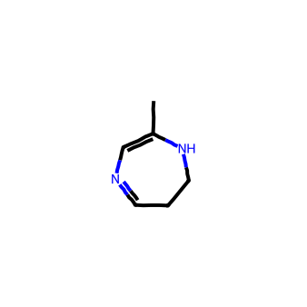 CC1=CN=CCCN1